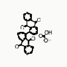 O=C(O)O.O=C1c2ccccc2C(=O)c2c1cccc2-c1cccc2c1C(=O)c1ccccc1C2=O